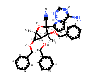 C[C@]1(OCc2ccccc2)C(C#N)(c2ccc3c(N)ncnn23)O[C@@H]2C(OCc3ccccc3)[C@@]21OCc1ccccc1